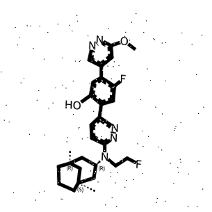 COc1cc(-c2cc(O)c(-c3ccc(N(CCF)[C@H]4C[C@]5(C)CCC[C@](C)(C4)C5)nn3)cc2F)cnn1